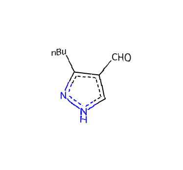 CCCCc1n[nH]cc1C=O